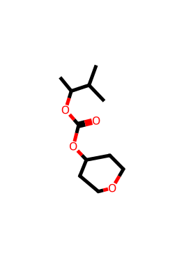 CC(C)C(C)OC(=O)OC1CCOCC1